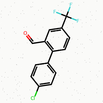 O=Cc1cc(C(F)(F)F)ccc1-c1ccc(Cl)cc1